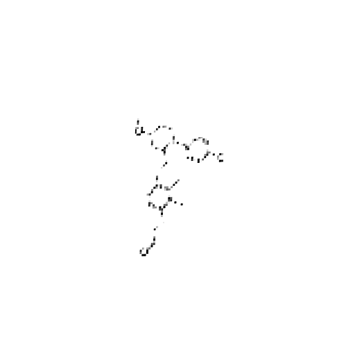 COC1CCC(c2ccc(Cl)cc2)=C(CCc2ccc(CCC=O)c(C)c2C)C1